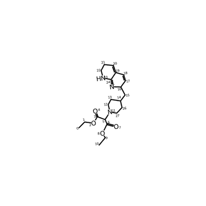 CCOC(=O)C(C(=O)OCC)N1CCC(CC2C=CC3=CCCNC3=N2)CC1